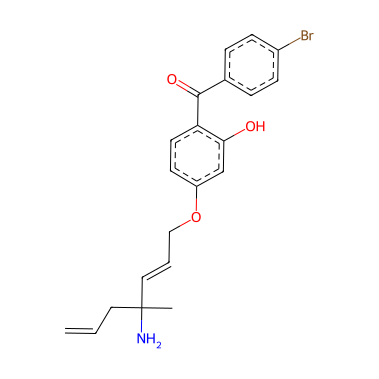 C=CCC(C)(N)C=CCOc1ccc(C(=O)c2ccc(Br)cc2)c(O)c1